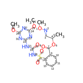 CON=CC(C)OC(=O)c1ccccc1S(=O)(=O)NC(=O)Nc1nc(OC)nc(OC)n1